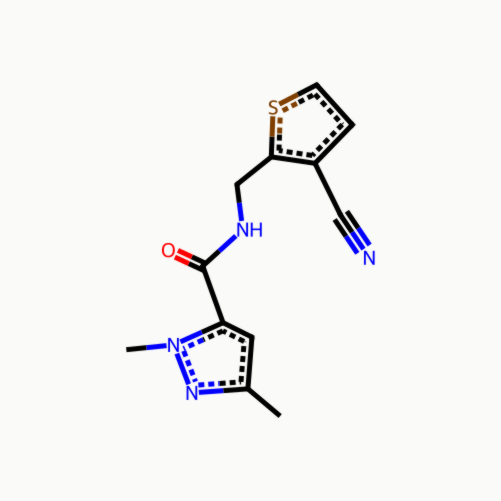 Cc1cc(C(=O)NCc2sccc2C#N)n(C)n1